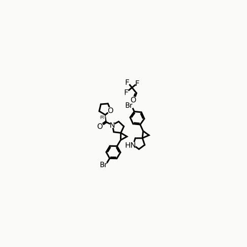 Brc1ccc(C2CC23CCNC3)cc1.O=C([C@H]1CCCO1)N1CCC2(CC2c2ccc(Br)cc2)C1.O=CC(F)(F)F